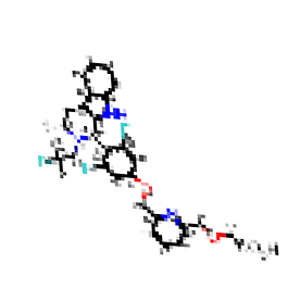 C[C@@H]1Cc2c([nH]c3ccccc23)[C@@H](c2c(F)cc(OCc3cccc(COCC(=O)O)n3)cc2F)N1CC(C)(C)F